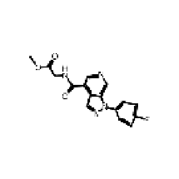 COC(=O)CNC(=O)c1cncc2c1cnn2-c1ccc(F)cc1